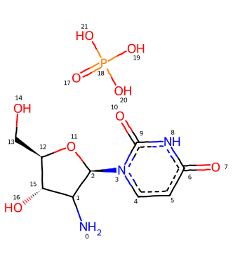 NC1[C@H](n2ccc(=O)[nH]c2=O)O[C@H](CO)[C@H]1O.O=P(O)(O)O